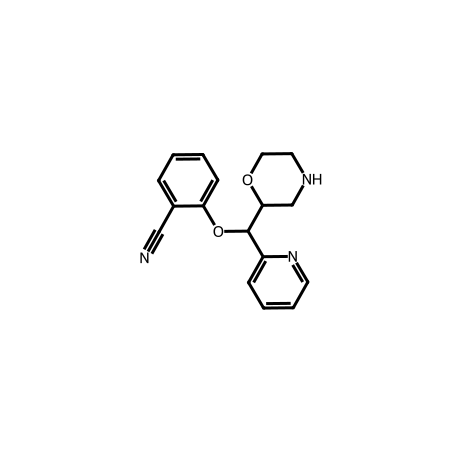 N#Cc1ccccc1OC(c1ccccn1)C1CNCCO1